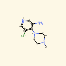 CN1CCN(c2c(N)cncc2Cl)CC1